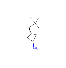 CC(C)(C)C[C@H]1C[C@@H](N)C1